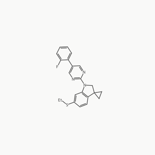 CCSc1ccc2c(c1)N(c1ncc(-c3ccccc3F)cn1)CC21CC1